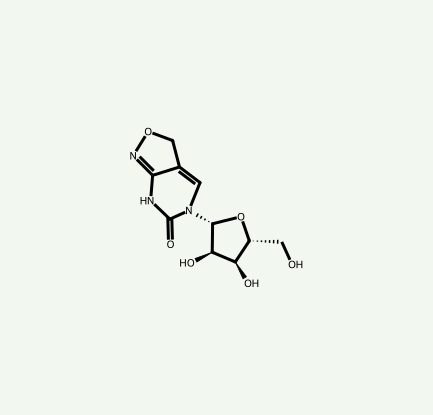 O=C1NC2=NOCC2=CN1[C@@H]1O[C@H](CO)[C@@H](O)[C@H]1O